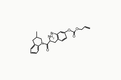 C=CCOC(=O)Oc1ccc(C[C@H](N)C(=O)N2CC(C)Cc3ccccc32)c(Br)c1